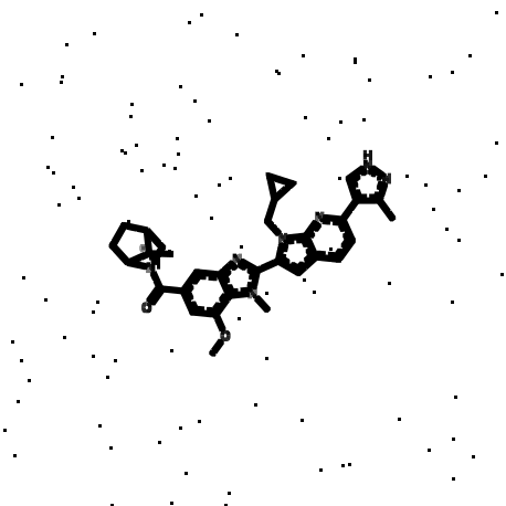 COc1cc(C(=O)N2CC3CCC2[C@@H]3C)cc2nc(-c3cc4ccc(-c5c[nH]nc5C)nc4n3CC3CC3)n(C)c12